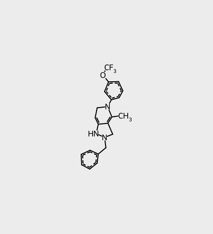 CC1=C2CN(Cc3ccccc3)NC2=CCN1c1cccc(OC(F)(F)F)c1